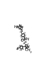 Cn1ncc(C=CC(=O)Nc2ccc(CSc3c[nH]nn3)cc2)c1-c1ccc(F)cc1